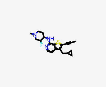 CC#Cc1sc2c(NC3CCN(C)CC3F)nccc2c1CC1CC1